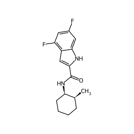 C[C@H]1CCCC[C@H]1NC(=O)c1cc2c(F)cc(F)cc2[nH]1